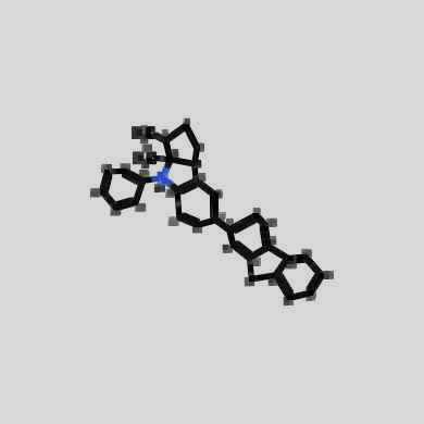 CC1CCC2c3cc(-c4ccc5c(c4)Cc4ccccc4-5)ccc3N(c3ccccc3)C12C